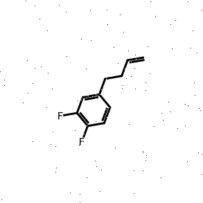 C=CCCc1ccc(F)c(F)c1